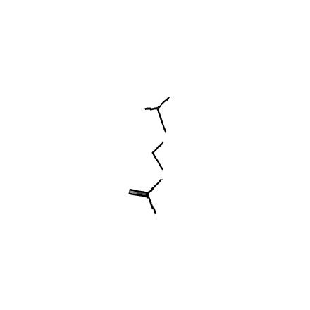 CCCC(CC)OCOC(=O)C(C)(C)C